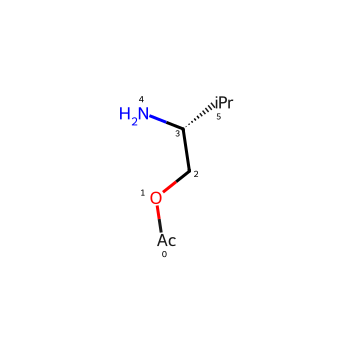 CC(=O)OC[C@H](N)C(C)C